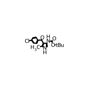 Cc1[nH]cc(NC(=O)OC(C)(C)C)c1C(=O)c1ccc(Cl)cc1